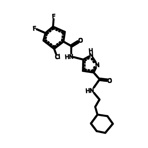 O=C(NCCC1CCCCC1)c1cc(NC(=O)c2cc(F)c(F)cc2Cl)[nH]n1